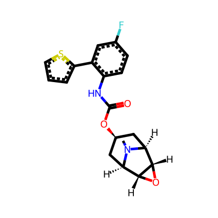 CN1[C@@H]2C[C@@H](OC(=O)Nc3ccc(F)cc3-c3cccs3)C[C@H]1[C@@H]1O[C@@H]12